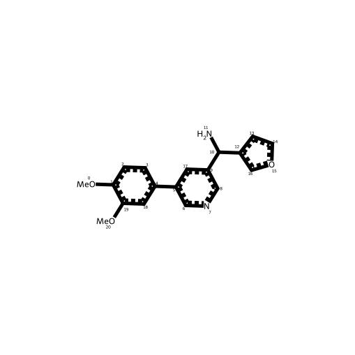 COc1ccc(-c2cncc(C(N)c3ccoc3)c2)cc1OC